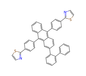 c1ccc(-c2ccccc2-c2ccc3c(-c4ccc(-c5nccs5)cc4)c4ccccc4c(-c4ccc(-c5nccs5)cc4)c3c2)cc1